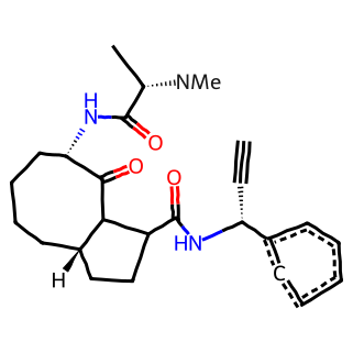 C#C[C@@H](NC(=O)C1CC[C@@H]2CCCC[C@H](NC(=O)[C@H](C)NC)C(=O)C12)c1ccccc1